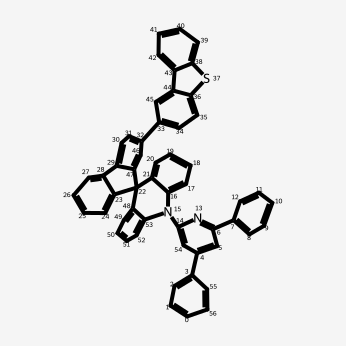 c1ccc(-c2cc(-c3ccccc3)nc(N3c4ccccc4C4(c5ccccc5-c5ccc(-c6ccc7sc8ccccc8c7c6)cc54)c4ccccc43)c2)cc1